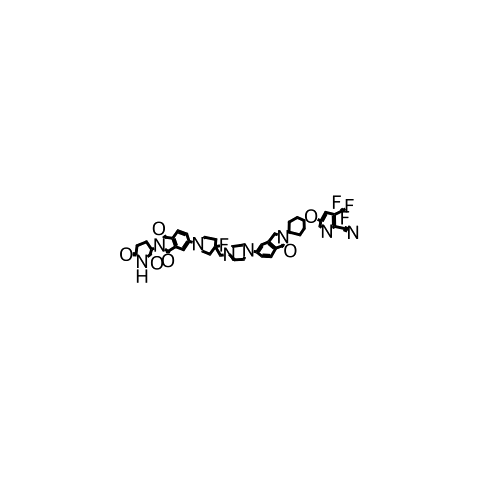 N#Cc1ncc(O[C@H]2CC[C@H](N3Cc4cc(N5CCN(CC6(F)CCN(c7ccc8c(c7)C(=O)N(C7CCC(=O)NC7=O)C8=O)CC6)CC5)ccc4C3=O)CC2)cc1C(F)(F)F